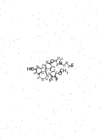 COc1ccc(C2=C(c3ccc(O[C@H]4CCN(CCCF)C4)cc3)c3ccc(O)cc3CCC2)c(F)c1F